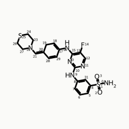 NS(=O)(=O)c1cccc(Nc2ncc(F)c(NC3=CCC(=CN4CCSCC4)C=C3)n2)c1